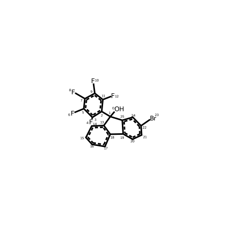 OC1(c2c(F)c(F)c(F)c(F)c2F)c2ccccc2-c2ccc(Br)cc21